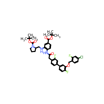 CC(C)(C)OC(=O)c1ccc(NC(=O)Cc2ccc(-c3ccc(F)c(OCc4ccc(Cl)cc4F)c3)cc2F)c(NCC2CCCN2C(=O)OC(C)(C)C)c1